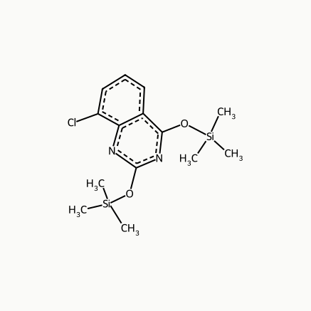 C[Si](C)(C)Oc1nc(O[Si](C)(C)C)c2cccc(Cl)c2n1